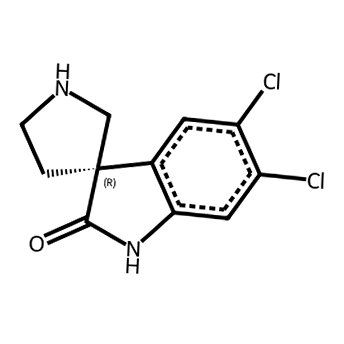 O=C1Nc2cc(Cl)c(Cl)cc2[C@@]12CCNC2